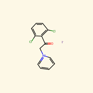 O=C(C[n+]1ccccc1)c1c(Cl)cccc1Cl.[I-]